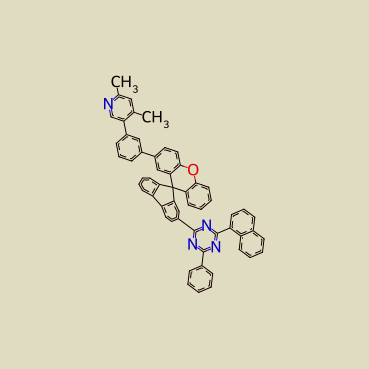 Cc1cc(C)c(-c2cccc(-c3ccc4c(c3)C3(c5ccccc5O4)c4ccccc4-c4ccc(-c5nc(-c6ccccc6)nc(-c6cccc7ccccc67)n5)cc43)c2)cn1